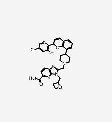 O=C(O)c1ccc2nc(CN3CCC(c4cccc5c4OC(c4ncc(Cl)cc4Cl)C=C5)CC3)n(CC3CCO3)c2n1